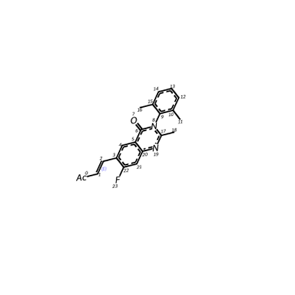 CC(=O)/C=C/c1cc2c(=O)n(-c3c(C)cccc3C)c(C)nc2cc1F